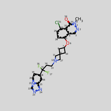 Cn1ncc2c(OC3CC4(C3)CN(CCC(F)(F)c3ccn5cnnc5c3)C4)ccc(Cl)c2c1=O